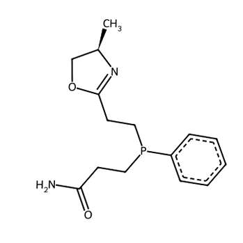 C[C@@H]1COC(CCP(CCC(N)=O)c2ccccc2)=N1